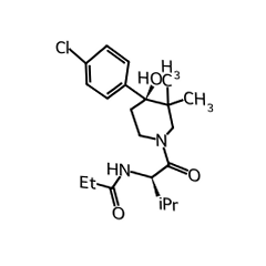 CCC(=O)N[C@@H](C(=O)N1CC[C@](O)(c2ccc(Cl)cc2)C(C)(C)C1)C(C)C